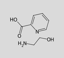 NCCO.O=C(O)c1ccccn1